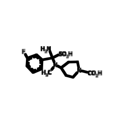 CN(C1CCN(C(=O)O)CC1)C(N)(c1cccc(F)c1)S(=O)(=O)O